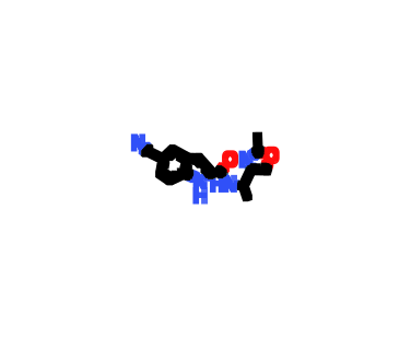 Cc1nc(C(C)NC(=O)c2cc3cc(C#N)ccc3[nH]2)co1